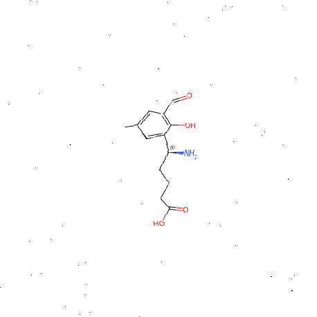 Cc1cc(C=O)c(O)c([C@@H](N)CCCC(=O)O)c1